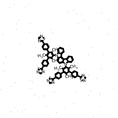 Cc1c(-c2ccc(-c3ncns3)cc2)c(C)c(-n2c3ccccc3c3c4c5ccccc5n(-c5c(C)c(-c6ccc(-c7ncns7)cc6)c(C)c(-c6ccc(-c7ncns7)cc6)c5C)c4ccc32)c(C)c1-c1ccc(-c2ncns2)cc1